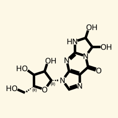 O=c1c2ncn([C@@H]3O[C@H](CO)C(O)C3O)c2nc2n1C(O)C(O)N2